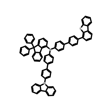 c1ccc(C2(c3ccccc3)c3ccccc3-c3c(N(c4ccc(-c5ccc(-c6cccc7c6sc6ccccc67)cc5)cc4)c4ccc(-c5ccc(-n6c7ccccc7c7ccccc76)cc5)cc4)cccc32)cc1